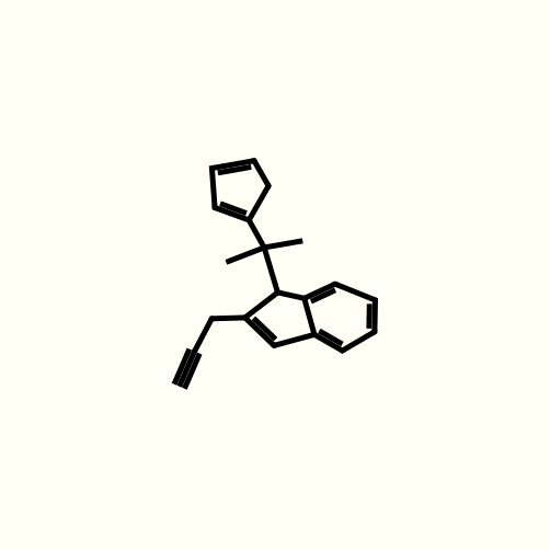 C#CCC1=Cc2ccccc2C1C(C)(C)C1=CC=CC1